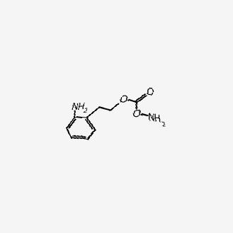 NOC(=O)OCCc1ccccc1N